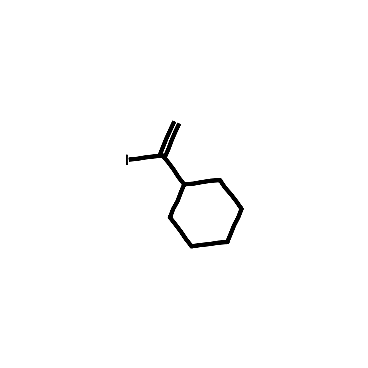 C=C(I)C1CCCCC1